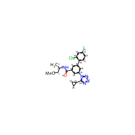 COCC(C)NC(=O)c1cc(-c2ccc(F)cc2Cl)cc(-n2nnnc2C2CC2)c1